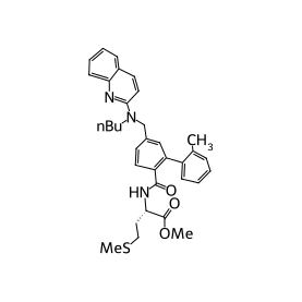 CCCCN(Cc1ccc(C(=O)N[C@@H](CCSC)C(=O)OC)c(-c2ccccc2C)c1)c1ccc2ccccc2n1